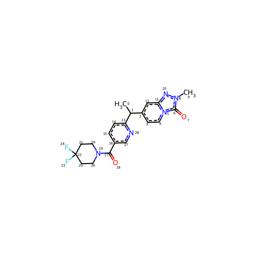 CC(c1ccn2c(=O)n(C)nc2c1)c1ccc(C(=O)N2CCC(F)(F)CC2)cn1